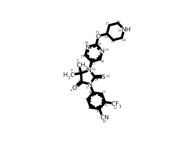 CC1(C)C(=O)N(c2ccc(C#N)c(C(F)(F)F)c2)C(=S)N1c1cnc(OC2CCNCC2)nc1